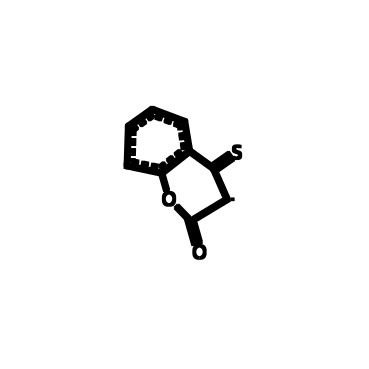 O=C1[CH]C(=S)c2ccccc2O1